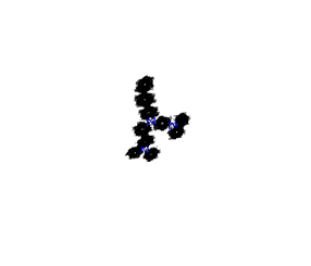 c1ccc(-c2ccc(-c3ccc(N(c4ccc(-n5c6ccccc6c6ccccc65)cc4)c4cccc(-c5ccc6c(c5)c5ccccc5n6-c5ccccc5)c4)cc3)cc2)cc1